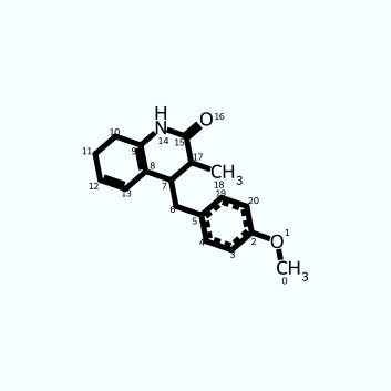 COc1ccc(CC2C3=C(CCC=C3)NC(=O)C2C)cc1